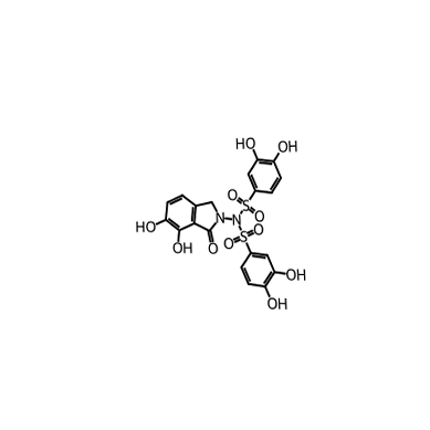 O=C1c2c(ccc(O)c2O)CN1N(S(=O)(=O)c1ccc(O)c(O)c1)S(=O)(=O)c1ccc(O)c(O)c1